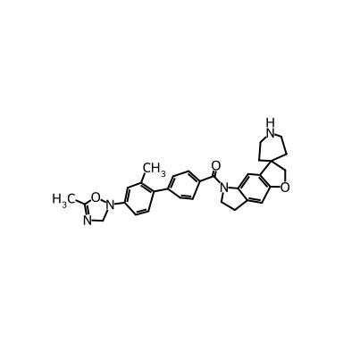 CC1=NCN(c2ccc(-c3ccc(C(=O)N4CCc5cc6c(cc54)C4(CCNCC4)CO6)cc3)c(C)c2)O1